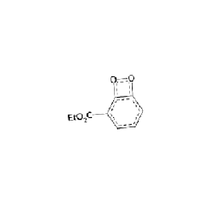 CCOC(=O)c1cccc2ooc12